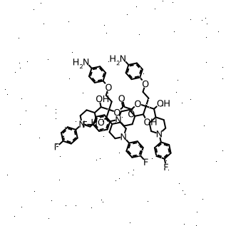 Nc1ccc(OCCC(OC(=O)C(=O)OC(CCOc2ccc(N)cc2)(C(O)C2CCN(c3ccc(F)cc3)CC2)C(O)C2CCN(c3ccc(F)cc3)CC2)(C(O)C2CCN(c3ccc(F)cc3)CC2)C(O)C2CCN(c3ccc(F)cc3)CC2)cc1